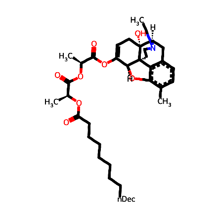 CCCCCCCCCCCCCCCCCC(=O)O[C@@H](C)C(=O)O[C@@H](C)C(=O)OC1=CC[C@@]2(O)[C@H]3Cc4ccc(C)c5c4[C@@]2(CCN3C)[C@H]1O5